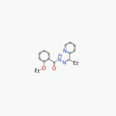 CCOc1ccccc1C(=O)NN=C(CC)c1ccccn1